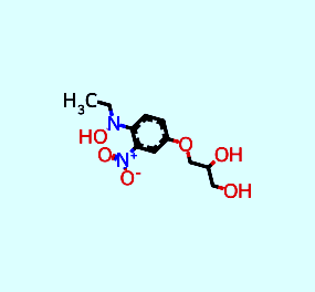 CCN(O)c1ccc(OCC(O)CO)cc1[N+](=O)[O-]